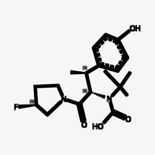 C[C@@H](c1ccc(O)cc1)[C@@H](C(=O)N1CC[C@H](F)C1)N(C(=O)O)C(C)(C)C